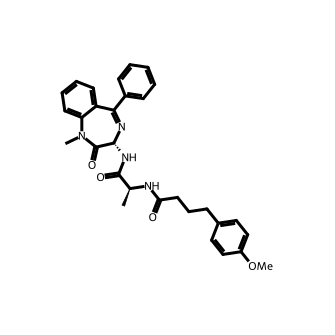 COc1ccc(CCCC(=O)N[C@@H](C)C(=O)N[C@H]2N=C(c3ccccc3)c3ccccc3N(C)C2=O)cc1